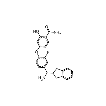 NC(=O)c1ccc(Oc2ccc(C(N)C3Cc4ccccc4C3)cc2F)cc1O